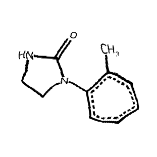 Cc1ccccc1N1CCNC1=O